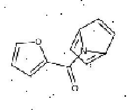 O=C(c1ccco1)n1c2ccc1cc2